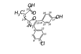 CC(Sc1nc(-c2ccc(Cl)cc2)c(-c2ccc(O)cc2)o1)C(=O)O